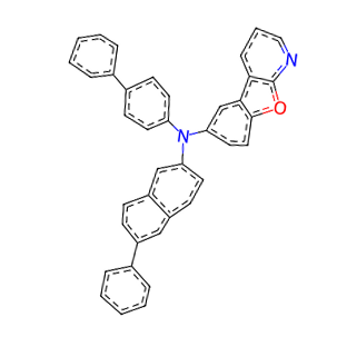 c1ccc(-c2ccc(N(c3ccc4cc(-c5ccccc5)ccc4c3)c3ccc4oc5ncccc5c4c3)cc2)cc1